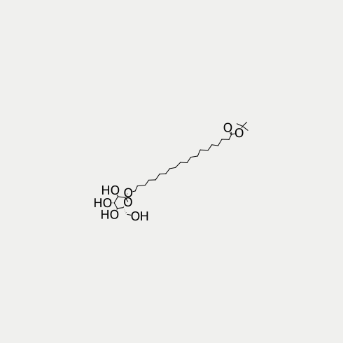 CC(C)(C)OC(=O)CCCCCCCCCCCCCCCCCCCO[C@@H]1O[C@H](CO)[C@@H](O)[C@H](O)[C@H]1O